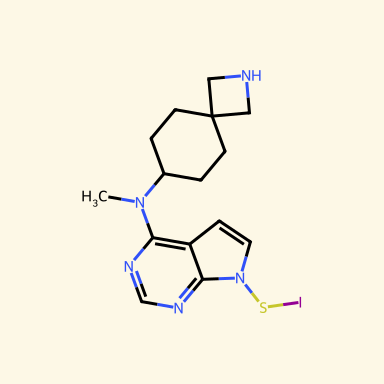 CN(c1ncnc2c1ccn2SI)C1CCC2(CC1)CNC2